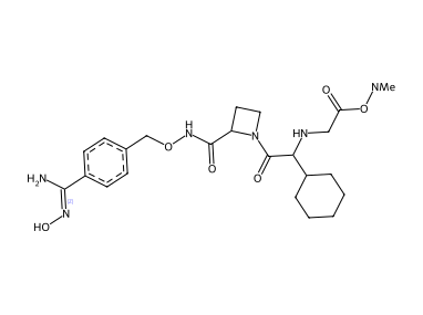 CNOC(=O)CNC(C(=O)N1CCC1C(=O)NOCc1ccc(/C(N)=N/O)cc1)C1CCCCC1